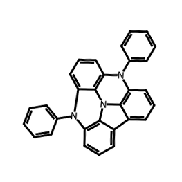 c1ccc(N2c3cccc4c3-n3c5c2cccc5c2cccc(c23)N4c2ccccc2)cc1